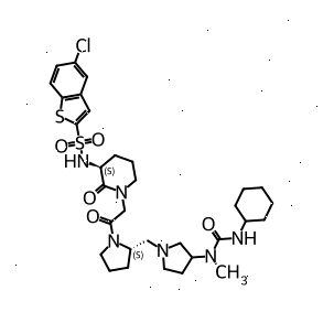 CN(C(=O)NC1CCCCC1)C1CCN(C[C@@H]2CCCN2C(=O)CN2CCC[C@H](NS(=O)(=O)c3cc4cc(Cl)ccc4s3)C2=O)C1